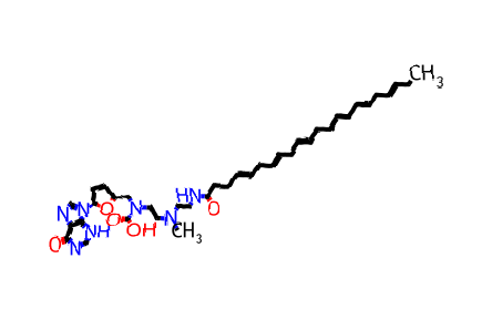 CCC=CCC=CCC=CCC=CCC=CCC=CCCC(=O)NCCN(C)CCN(C[C@@H]1CC[C@H](n2cnc3c(=O)nc[nH]c32)O1)C(=O)O